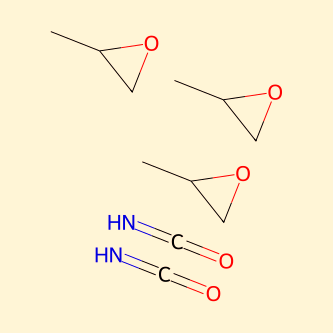 CC1CO1.CC1CO1.CC1CO1.N=C=O.N=C=O